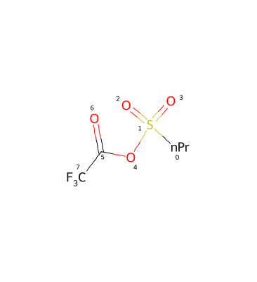 CCCS(=O)(=O)OC(=O)C(F)(F)F